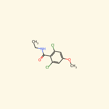 CCNC(=O)c1c(Cl)cc(OC)cc1Cl